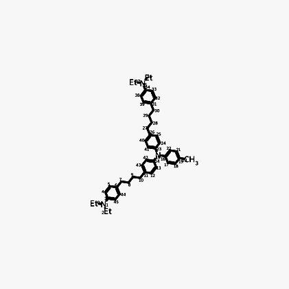 CCN(CC)c1ccc(CCCCc2ccc(N(c3ccc(C)cc3)c3ccc(CCCCc4ccc(N(CC)CC)cc4)cc3)cc2)cc1